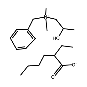 CC(O)C[N+](C)(C)Cc1ccccc1.CCCCC(CC)C(=O)[O-]